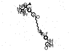 CC(C)n1nc(-c2noc(C3CC3)c2-c2ccc(C3CCN(C(=O)CCCCCCCN4CC5(C4)CN(c4ccc(NC6CCC(=O)NC6=O)cc4F)C5)CC3)cn2)c2c(N)ncnc21